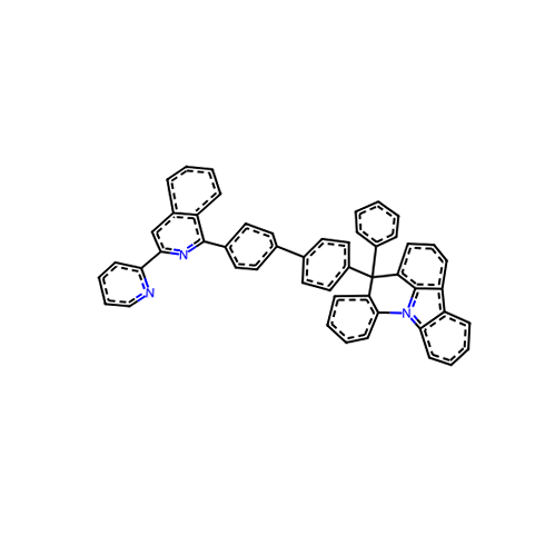 c1ccc(C2(c3ccc(-c4ccc(-c5nc(-c6ccccn6)cc6ccccc56)cc4)cc3)c3ccccc3-n3c4ccccc4c4cccc2c43)cc1